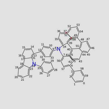 c1ccc(-c2ccc(N(c3ccc(-c4cccc5c6ccccc6n(-c6ccccc6)c45)cc3)c3ccccc3-c3cccc4cccc(-c5ccccc5)c34)cc2)cc1